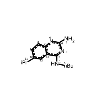 CCCCNc1nc(N)nc2ccc(C(C)C)cc12